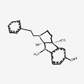 CN1c2ccc(O)cc2[C@]2(C)CCN(CCc3ccccc3)[C@H]12